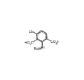 CCc1ccc(C(=O)O)c(CC)c1C(=O)O.[NaH]